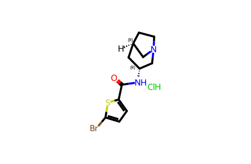 Cl.O=C(N[C@@H]1C[C@H]2CCN(C2)C1)c1ccc(Br)s1